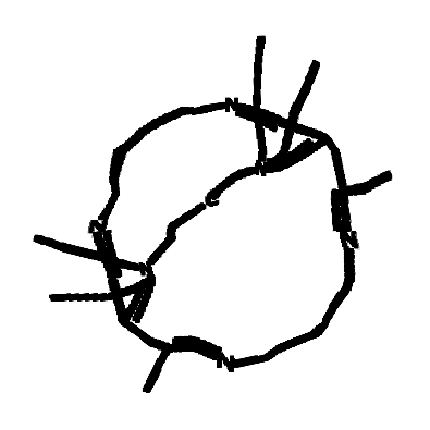 CC1=NCCCN=C(C)C2=C(C)N(C)CCCCN(C)C(C)=C1C=NCCCN=C2